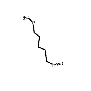 CCCCCCCCCCOC(C)(C)C